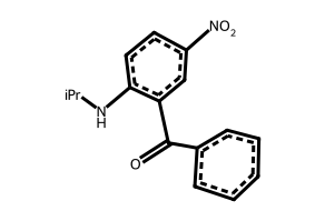 CC(C)Nc1ccc([N+](=O)[O-])cc1C(=O)c1ccccc1